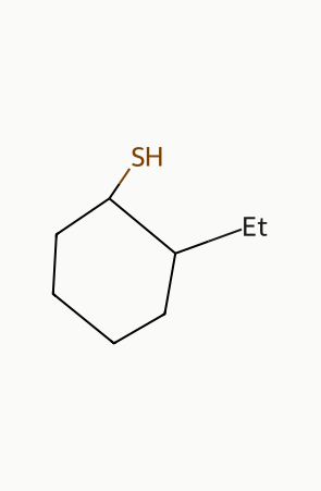 CCC1CCCCC1S